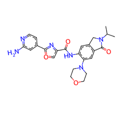 CC(C)N1Cc2cc(NC(=O)c3coc(-c4ccnc(N)c4)n3)c(N3CCOCC3)cc2C1=O